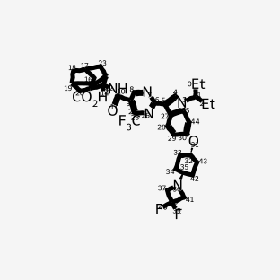 CCC(CC)n1cc(-c2ncc(C(=O)NC3(C(=O)O)C4CC5CC(C4)CC3C5)c(C(F)(F)F)n2)c2ccc(O[C@H]3CC[C@H](N4CC(F)(F)C4)CC3)cc21